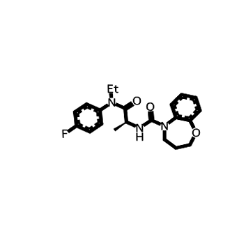 CCN(C(=O)[C@H](C)NC(=O)N1CCCOc2ccccc21)c1ccc(F)cc1